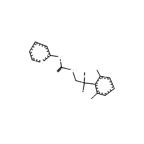 CC(C)(CNC(=S)Nc1ccccn1)c1c(F)cccc1Cl